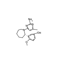 COc1ccc(O)cc1[C@@H]1CCCCCN1c1cc(C)nc(N)n1